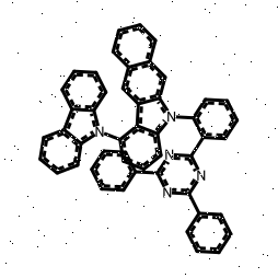 c1ccc(-c2nc(-c3ccccc3)nc(-c3ccccc3-n3c4cc5ccccc5cc4c4c(-n5c6ccccc6c6ccccc65)cccc43)n2)cc1